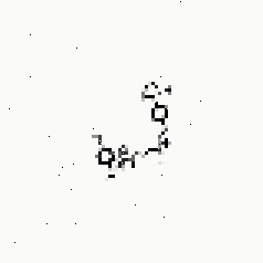 COc1ccc(Cl)cc1S(=O)(=O)N(C)CCCC(=O)N(C)CCc1ccc(C2=NCCN2)cc1